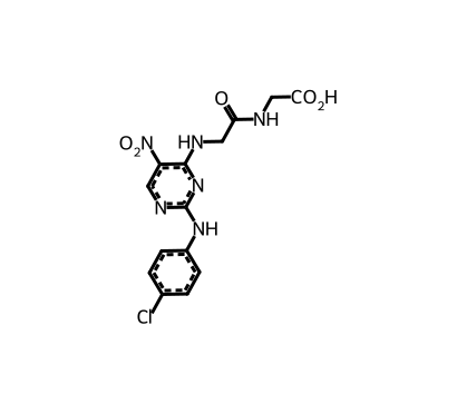 O=C(O)CNC(=O)CNc1nc(Nc2ccc(Cl)cc2)ncc1[N+](=O)[O-]